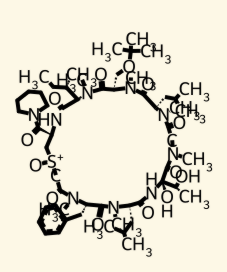 CC[C@H](C)[C@H]1C(=O)N[C@H](C(=O)N2CCCCC2)C[S+]([O-])CC(=O)N(C)[C@@H](Cc2ccccc2)C(=O)N(C)[C@@H](CC(C)C)C(=O)N[C@@](O)([C@@H](C)O)C(=O)N(C)CC(=O)N(C)[C@@H](CC(C)C)C(=O)N(C)[C@@H](COC(C)(C)C)C(=O)N1C